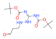 CC(C)(C)OC(=O)/N=C(\NNCCC=O)NC(=O)OC(C)(C)C